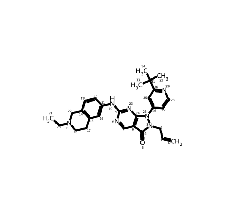 C=CCn1c(=O)c2cnc(Nc3ccc4c(c3)CCN(CC)C4)nc2n1-c1ccnc(C(C)(C)C)c1